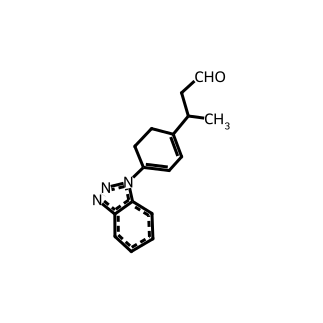 CC(CC=O)C1=CC=C(n2nnc3ccccc32)CC1